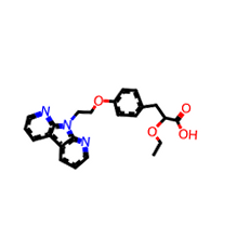 CCOC(Cc1ccc(OCCn2c3ncccc3c3cccnc32)cc1)C(=O)O